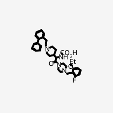 CCOc1cccc(F)c1CN1CCN(C(=O)C(NC(=O)O)C2CCN(CCc3ccccc3-c3ccccc3)CC2)CC1